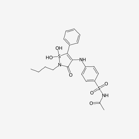 CCCCN1C(=O)C(Nc2ccc(S(=O)(=O)NC(C)=O)cc2)=C(c2ccccc2)S1(O)O